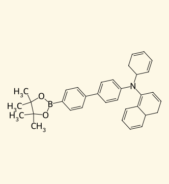 CC1(C)OB(c2ccc(-c3ccc(N(C4=C5C=CC=CC5CC=C4)C4C=CC=CC4)cc3)cc2)OC1(C)C